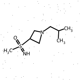 CC(C)CN1CC(S(C)(=N)=O)C1